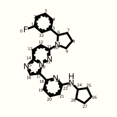 Fc1cccc(C2CCCN2c2ccc3ncc(-c4cccc(NC5CCCC5)n4)n3n2)c1